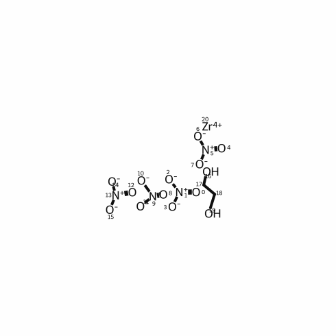 O=[N+]([O-])[O-].O=[N+]([O-])[O-].O=[N+]([O-])[O-].O=[N+]([O-])[O-].OCCO.[Zr+4]